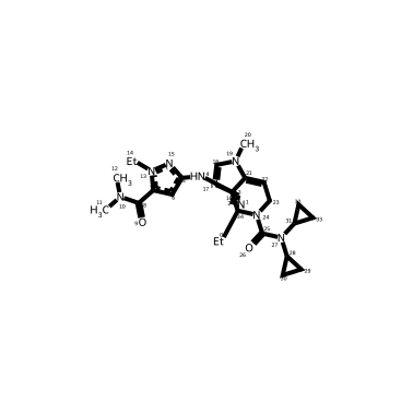 CCN1C=C(Nc2cc(C(=O)N(C)C)n(CC)n2)C23N=CN(C)C2=CCN(C(=O)N(C2CC2)C2CC2)C13